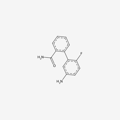 NC(=O)c1ccccc1-c1cc(N)ccc1F